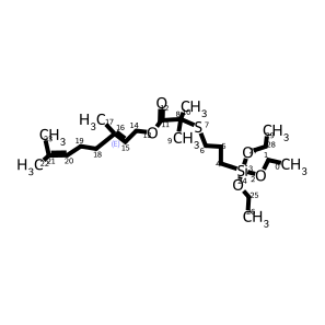 CCO[Si](CCCSC(C)(C)C(=O)OC/C=C(\C)CCC=C(C)C)(OCC)OCC